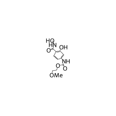 COCCOC(=O)Nc1ccc(C(=O)NO)c(O)c1